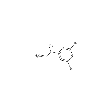 C=C[C](C)c1cc(Br)cc(CC)c1